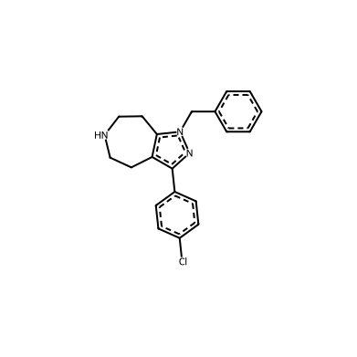 Clc1ccc(-c2nn(Cc3ccccc3)c3c2CCNCC3)cc1